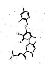 CC1=CN(C)[C@@H](C(=O)/C=C/N(C)C)C[C@H]1n1c(C)cc(OCc2ncc(F)cc2F)c(Cl)c1=O